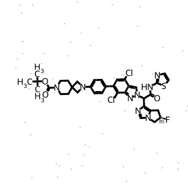 CC(C)(C)OC(=O)N1CCC2(CC1)CN(c1ccc(-c3cc(Cl)c4cn(C(C(=O)Nc5nccs5)c5ncn6c5C[C@@H](F)C6)nc4c3Cl)cc1)C2